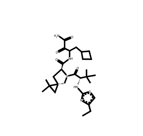 CCc1csc(N[C@H](C(=O)N2C[C@]3(C[C@H]2C(=O)NC(CC2CCC2)C(=O)C(N)=O)CC3(C)C)C(C)(C)C)n1